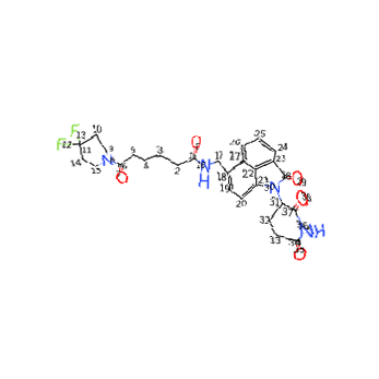 O=C(CCCCC(=O)N1CCC(F)(F)CC1)NCc1ccc2c3c(cccc13)C(=O)N2C1CCC(=O)NC1=O